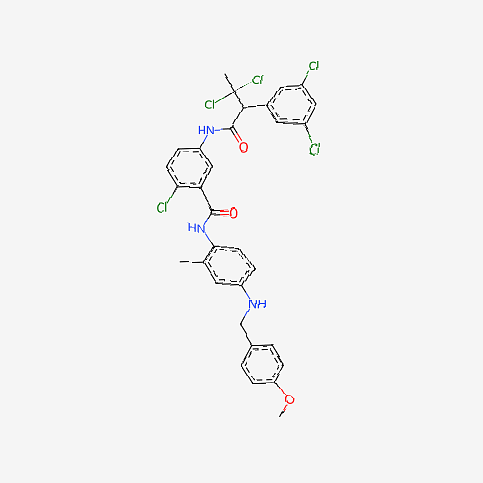 COc1ccc(CNc2ccc(NC(=O)c3cc(NC(=O)C(c4cc(Cl)cc(Cl)c4)C(C)(Cl)Cl)ccc3Cl)c(C)c2)cc1